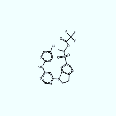 CN(OC(=O)C(F)(F)F)S(=O)(=O)c1ccc2c(c1)N(c1cc(Nc3ccc(Cl)cn3)ncn1)CC2